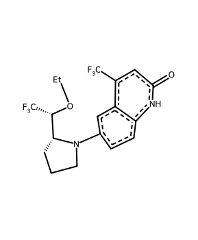 CCO[C@H]([C@H]1CCCN1c1ccc2[nH]c(=O)cc(C(F)(F)F)c2c1)C(F)(F)F